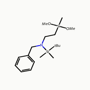 CO[Si](C)(CCN(Cc1ccccc1)[Si](C)(C)C(C)(C)C)OC